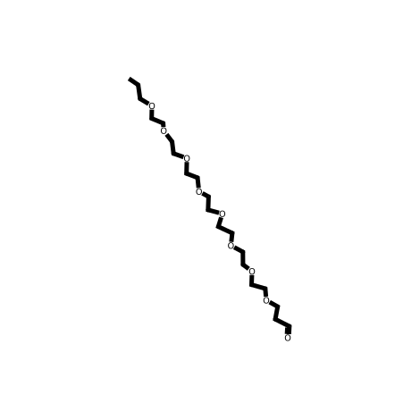 CCCOCCOCCOCCOCCOCCOCCOCCOCCC=O